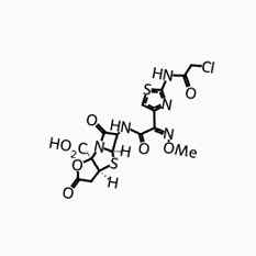 CO/N=C(\C(=O)N[C@@H]1C(=O)N2[C@@H]1S[C@H]1CC(=O)O[C@]12C(=O)O)c1csc(NC(=O)CCl)n1